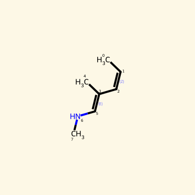 C/C=C\C(C)=C\NC